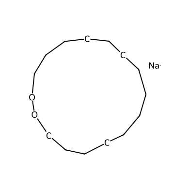 C1CCCCCCCOOCCCCCC1.[Na]